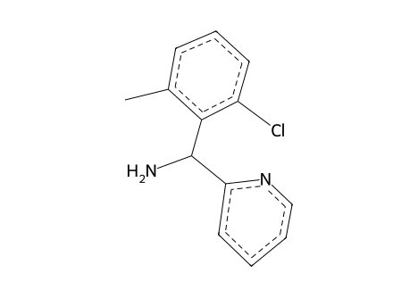 Cc1cccc(Cl)c1C(N)c1ccccn1